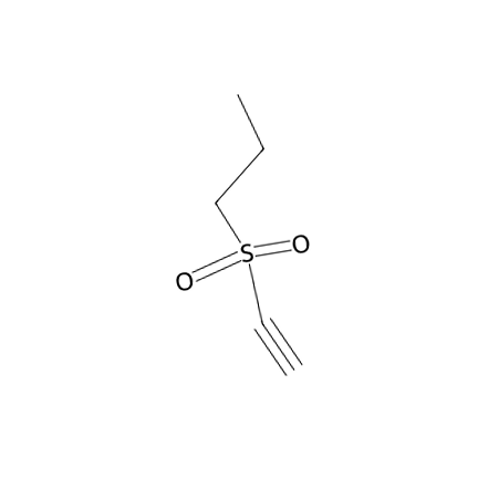 C#CS(=O)(=O)CCC